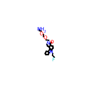 NCCOCCOCCn1ccc2c(ccc3c2c2ccccc2n3CCCF)c1=O